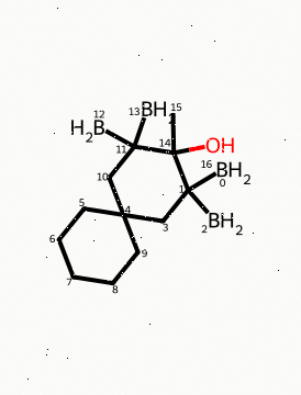 BC1(B)CC2(CCCCC2)CC(B)(B)C1(C)O